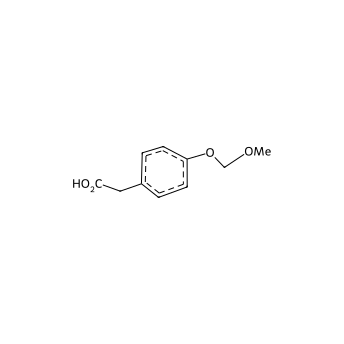 COCOc1ccc(CC(=O)O)cc1